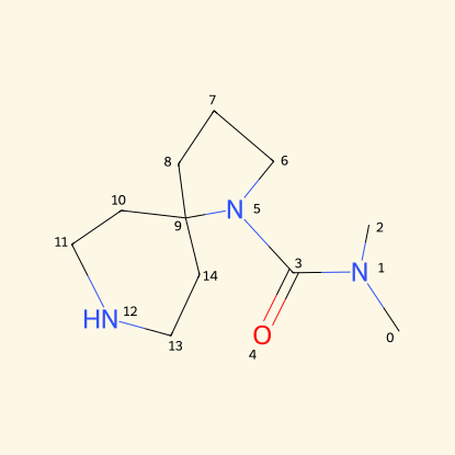 CN(C)C(=O)N1CCCC12CCNCC2